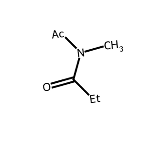 CCC(=O)N(C)C(C)=O